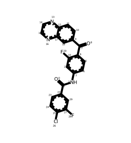 O=C(Nc1ccc(C(=O)c2ccc3nccnc3c2)c(F)c1)c1ccc(Cl)c(F)c1